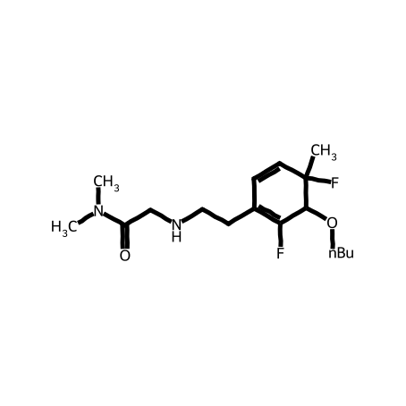 CCCCOC1C(F)=C(CCNCC(=O)N(C)C)C=CC1(C)F